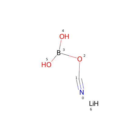 N#COB(O)O.[LiH]